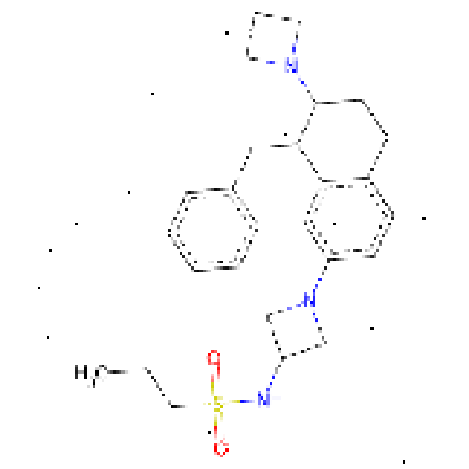 CCCS(=O)(=O)NC1CN(c2ccc3c(c2)C(Cc2ccccc2)C(N2CCC2)CC3)C1